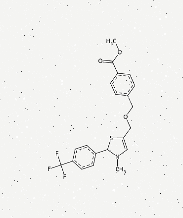 COC(=O)c1ccc(COCC2=CN(C)C(c3ccc(C(F)(F)F)cc3)S2)cc1